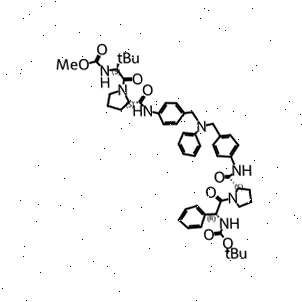 COC(=O)N[C@H](C(=O)N1CCC[C@H]1C(=O)Nc1ccc(CN(Cc2ccc(NC(=O)[C@@H]3CCCN3C(=O)[C@H](NC(=O)OC(C)(C)C)c3ccccc3)cc2)c2ccccc2)cc1)C(C)(C)C